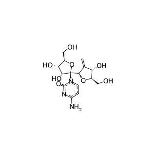 C=C1[C@H]([C@@]2(n3ccc(N)nc3=O)O[C@H](CO)[C@@H](O)[C@H]2O)O[C@H](CO)[C@H]1O